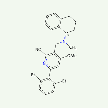 CCc1cccc(CC)c1-c1cc(OC)c(CN(C)[C@H]2CCCc3ccccc32)c(C#N)n1